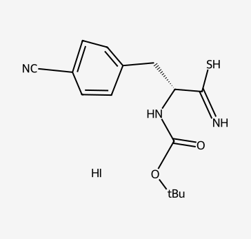 CC(C)(C)OC(=O)N[C@H](Cc1ccc(C#N)cc1)C(=N)S.I